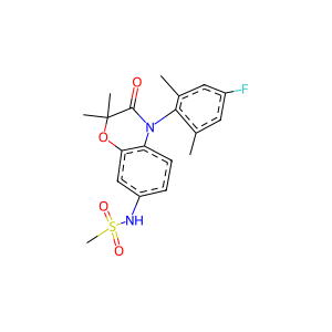 Cc1cc(F)cc(C)c1N1C(=O)C(C)(C)Oc2cc(NS(C)(=O)=O)ccc21